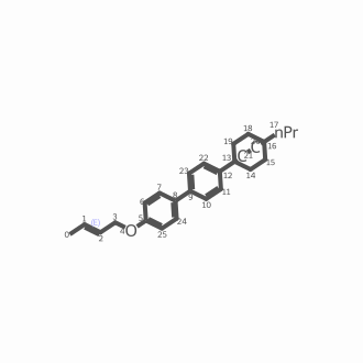 C/C=C/COc1ccc(-c2ccc(C34CCC(CCC)(CC3)CC4)cc2)cc1